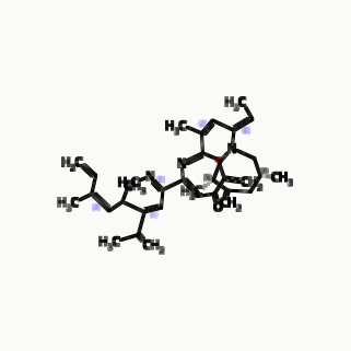 C=C/C(C)=C\C(C)/C(=C\C(=N/C)C1=CC(=O)C(=C)CC(/C(C)=C\C(=C/C)N2C[C@H](C)CC(=C)[C@H](C)C2)=N1)C(=C)C